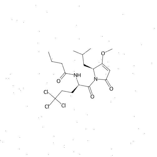 CCCC(=O)N[C@H](CCC(Cl)(Cl)Cl)C(=O)N1C(=O)C=C(OC)[C@@H]1CC(C)C